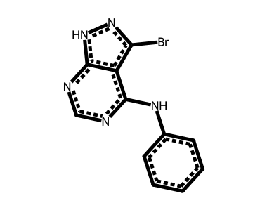 Brc1n[nH]c2ncnc(Nc3ccccc3)c12